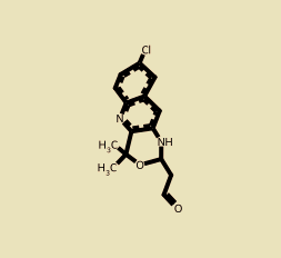 CC1(C)OC(CC=O)Nc2cc3cc(Cl)ccc3nc21